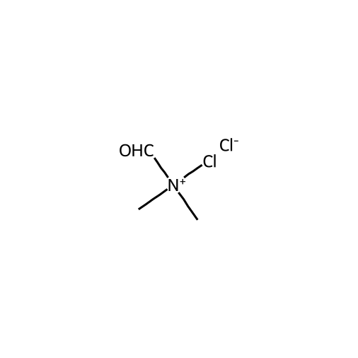 C[N+](C)(Cl)C=O.[Cl-]